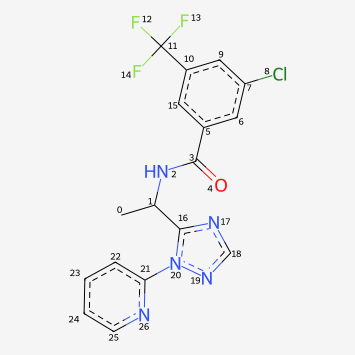 CC(NC(=O)c1cc(Cl)cc(C(F)(F)F)c1)c1ncnn1-c1ccccn1